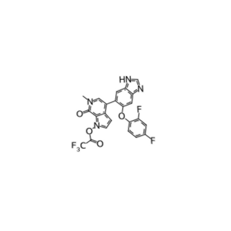 Cn1cc(-c2cc3[nH]cnc3cc2Oc2ccc(F)cc2F)c2ccn(OC(=O)C(F)(F)F)c2c1=O